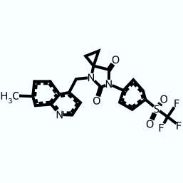 Cc1ccc2c(CN3C(=O)N(c4ccc(S(=O)(=O)C(F)(F)F)cc4)C(=O)C34CC4)ccnc2c1